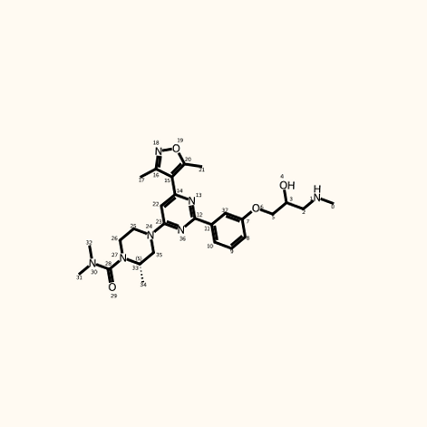 CNCC(O)COc1cccc(-c2nc(-c3c(C)noc3C)cc(N3CCN(C(=O)N(C)C)[C@@H](C)C3)n2)c1